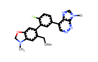 CCn1cnc2c(-c3ccc(F)c(-c4cc5c(cc4COC)N(C)CO5)c3)cnnc21